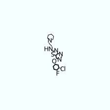 Fc1ccc(Oc2ncnc3nc(NCCN4CCCCC4)sc23)cc1Cl